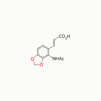 CC(=O)Nc1c(/C=C/C(=O)O)ccc2c1OCO2